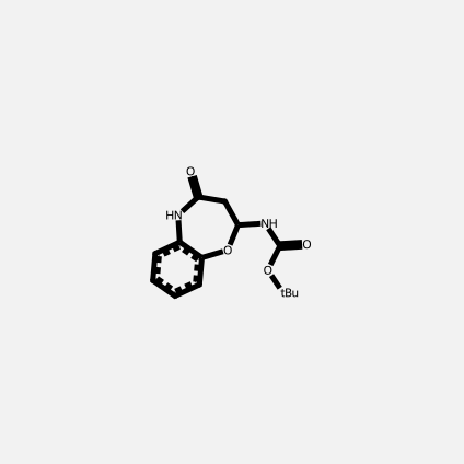 CC(C)(C)OC(=O)NC1CC(=O)Nc2ccccc2O1